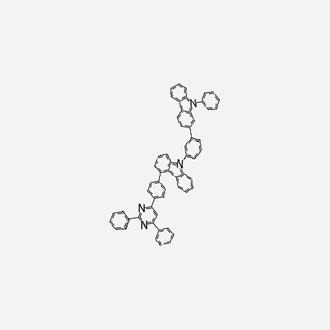 c1ccc(-c2cc(-c3ccc(-c4cccc5c4c4ccccc4n5-c4cccc(-c5ccc6c7ccccc7n(-c7ccccc7)c6c5)c4)cc3)nc(-c3ccccc3)n2)cc1